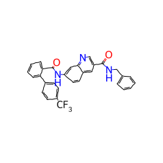 O=C(NCc1ccccc1)c1cnc2cc(NC(=O)c3ccccc3-c3ccc(C(F)(F)F)cc3)ccc2c1